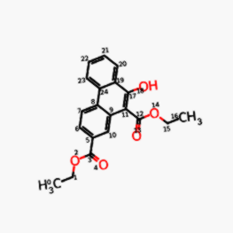 CCOC(=O)c1ccc2c(c1)c(C(=O)OCC)c(O)c1ccccc12